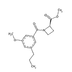 CCCc1cc(OC)cc(C(=O)N2CC[C@@H]2C(=O)OC)c1